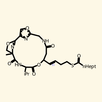 CCCCCCCC(=O)SCC/C=C/C1CC(=O)NCc2nc(co2)C2=NC(C)(CO2)C(=O)NC(C(C)C)C(=O)O1